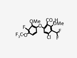 COc1c(Oc2cc(Cl)c(C(F)F)c(OC)c2C(=O)O)ccc(OC(F)(F)F)c1F